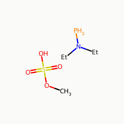 CCN(P)CC.COS(=O)(=O)O